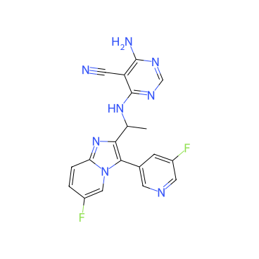 CC(Nc1ncnc(N)c1C#N)c1nc2ccc(F)cn2c1-c1cncc(F)c1